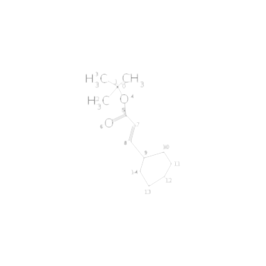 CC(C)(C)OC(=O)C=CC1CCCCC1